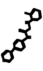 Cc1ccccc1NCC(=O)Nc1ccc(-c2ccncc2)cc1